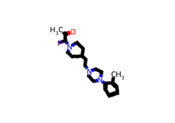 CC(=O)C(I)N1CCC(CCN2CCN(c3ccccc3C)CC2)CC1